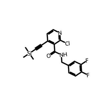 C[Si](C)(C)C#Cc1ccnc(Cl)c1C(=O)NCc1ccc(F)c(F)c1